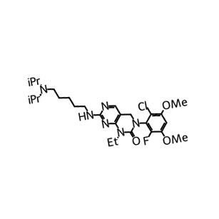 CCN1C(=O)N(c2c(F)c(OC)cc(OC)c2Cl)Cc2cnc(NCCCCCN(C(C)C)C(C)C)nc21